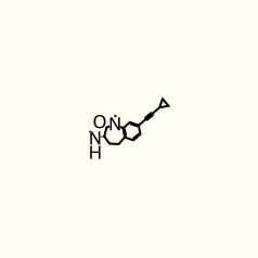 CN[C@H]1CCc2ccc(C#CC3CC3)cc2N(C)C1=O